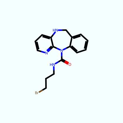 O=C(NCCCBr)N1c2ccccc2CNc2cccnc21